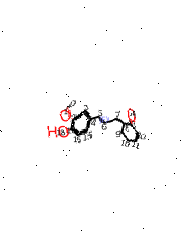 COc1cc(/C=C/CC2CCC=CC2=O)ccc1O